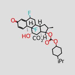 CC(C)C1CCC(OC(=O)O[C@@]2(C(=O)O)[C@H](C)C[C@H]3[C@@H]4C[C@H](F)C5=CC(=O)C=C[C@]5(C)C4(F)[C@@H](O)C[C@@]32C)CC1